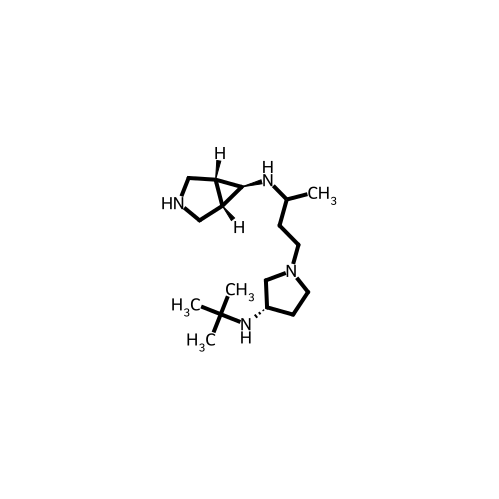 CC(CCN1CC[C@H](NC(C)(C)C)C1)N[C@H]1[C@@H]2CNC[C@@H]21